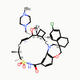 CCO[C@]1(CN2CCN(C(C)(C)C)CC2)/C=C/C[C@H](C)[C@@H](C)S(=O)(=O)NC(=O)c2ccc3c(c2)N(C[C@@H]2CC[C@H]21)C[C@@]1(CCCc2cc(Cl)ccc21)CO3